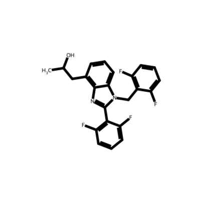 CC(O)Cc1cccc2c1nc(-c1c(F)cccc1F)n2Cc1c(F)cccc1F